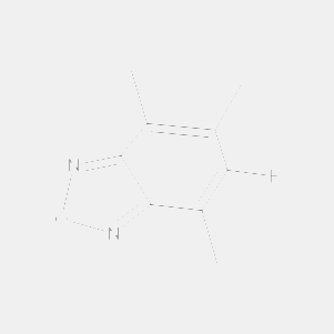 Cc1c(F)c(C)c2nonc2c1C